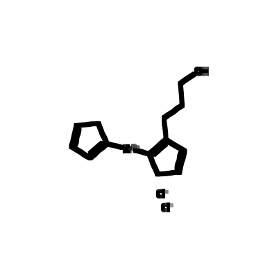 OCCCC1=[C]([Zr+2][C]2=CC=CC2)CC=C1.[Cl-].[Cl-]